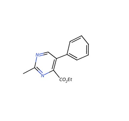 CCOC(=O)c1nc(C)ncc1-c1ccccc1